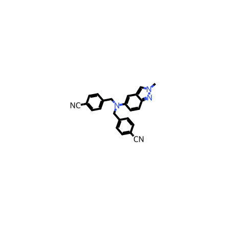 Cn1cc2cc(N(Cc3ccc(C#N)cc3)Cc3ccc(C#N)cc3)ccc2n1